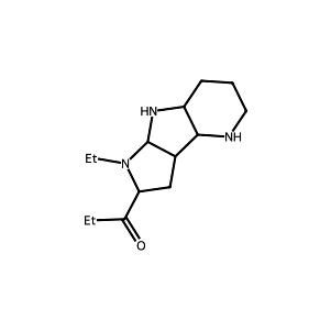 CCC(=O)C1CC2C3NCCCC3NC2N1CC